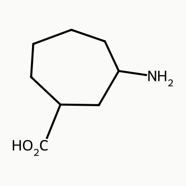 NC1CCCCC(C(=O)O)C1